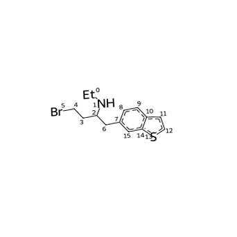 CCNC(CCBr)Cc1ccc2ccsc2c1